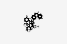 C[C@H]1CC[C@H](C(=O)N(c2nn(-c3ccc(/C=C\c4ccccc4)cc3)cc2C(=O)O)C2CCOCC2)CC1